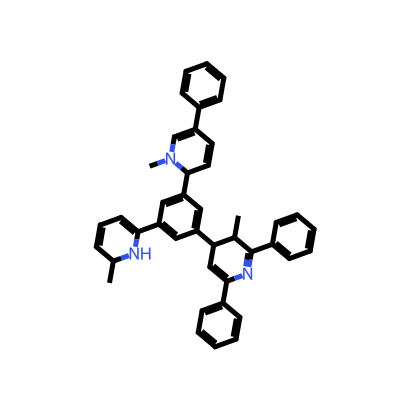 CC1C=CC=C(c2cc(C3C=C(c4ccccc4)N=C(c4ccccc4)C3C)cc(C3C=CC(c4ccccc4)=CN3C)c2)N1